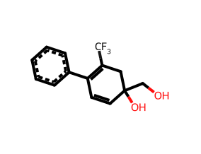 OCC1(O)C=CC(c2ccccc2)=C(C(F)(F)F)C1